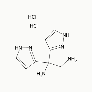 Cl.Cl.NCC(N)(c1cc[nH]n1)c1cc[nH]n1